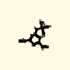 COc1nc(OC)nc(OS(=O)(=O)C(F)(F)F)n1